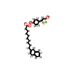 O=C(CCCCCCCCCC1=CCc2ccccc2C1)OOc1ccc(-c2cc(=O)ss2)cc1